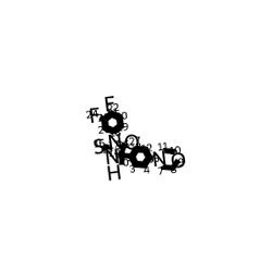 CC1(c2ccc(N3CCOCC3)cc2)NC(=S)N(c2ccc(F)c(F)c2)C1=O